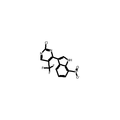 O=[N+]([O-])c1cccc2c(-c3nc(Cl)ncc3C(F)(F)F)c[nH]c12